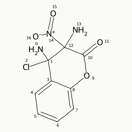 NC1(Cl)c2ccccc2OC(=O)C1(N)[N+](=O)[O-]